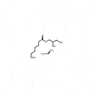 C=CC.CCCCCCCCCCCCCCCC(=O)OCC(O)CO